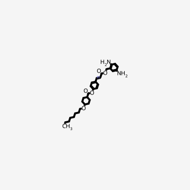 CCCCCCCCOC1CCC(C(=O)Oc2ccc(/C=C/C(=O)OCc3cc(N)ccc3N)cc2)CC1